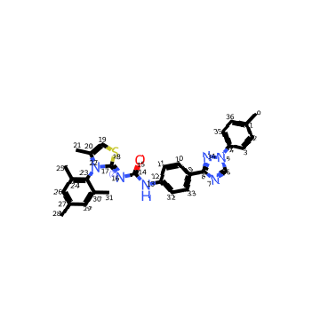 Cc1ccc(-n2cnc(-c3ccc(NC(=O)/N=c4\scc(C)n4-c4c(C)cc(C)cc4C)cc3)n2)cc1